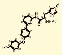 CC(=O)N[C@@H](Cc1cn(C)cn1)C(=O)Nc1cccc(-c2ccc(Oc3ccc(F)cc3)cc2)n1